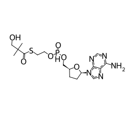 CC(C)(CO)C(=O)SCCO[PH](=O)OC[C@@H]1CC[C@H](n2cnc3c(N)ncnc32)O1